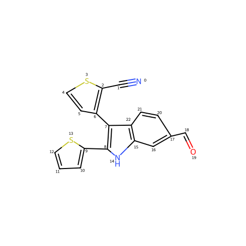 N#Cc1sccc1-c1c(-c2cccs2)[nH]c2cc(C=O)ccc12